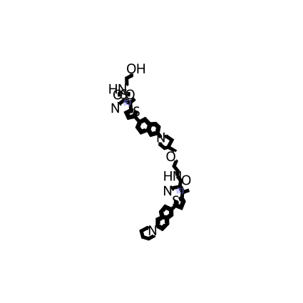 C/C(=C(/C#N)C(=O)NCCCOCC1CCN(c2ccc3cc(-c4ccc(/C(C)=C(\C#N)S(=O)(=O)NCCCO)s4)ccc3c2)CC1)c1ccc(-c2ccc3cc(N4CCCCC4)ccc3c2)s1